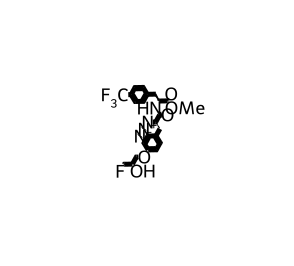 COC(=O)[C@H](Cc1ccc(C(F)(F)F)cc1)NC(=O)[C@H](Cc1ccc(OCC(O)CF)cc1)N=[N+]=[N-]